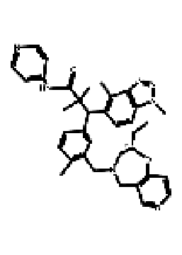 CC[C@@H]1CN(Cc2cc(C(c3ccc4c(nnn4C)c3C)C(C)(C)C(=O)Nc3ccncc3)ccc2C)Cc2cnccc2O1